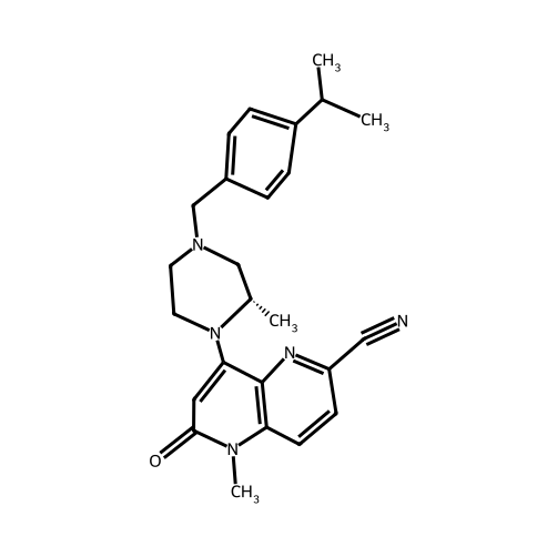 CC(C)c1ccc(CN2CCN(c3cc(=O)n(C)c4ccc(C#N)nc34)[C@@H](C)C2)cc1